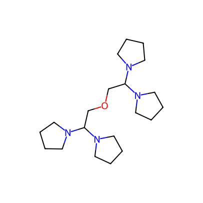 C1CCN(C(COCC(N2CCCC2)N2CCCC2)N2CCCC2)C1